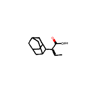 CC=C(C(=O)OC)C1C2CC3CC(C2)CC1C3